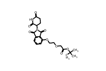 CC(C)(C)OC(=O)COCCOc1cccc2c1C(=O)N(C1CCC(=O)NC1=O)C2=O